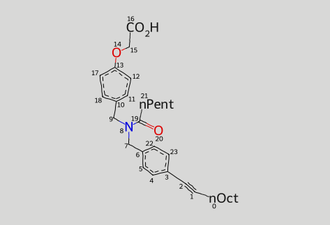 CCCCCCCCC#Cc1ccc(CN(Cc2ccc(OCC(=O)O)cc2)C(=O)CCCCC)cc1